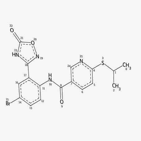 CC(C)Sc1ccc(C(=O)Nc2ccc(Br)cc2-c2noc(=O)[nH]2)cn1